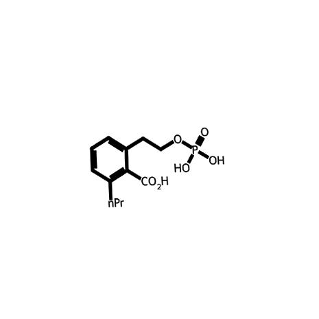 CCCc1cccc(CCOP(=O)(O)O)c1C(=O)O